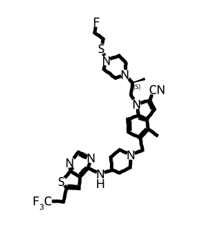 Cc1c(CN2CCC(Nc3ncnc4sc(CC(F)(F)F)cc34)CC2)ccc2c1cc(C#N)n2C[C@H](C)N1CCN(SCCF)CC1